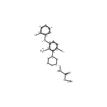 CC(C)(C)OC(=O)NC[C@@H]1CCCN(c2c(I)ccc(Oc3ccccc3F)c2C(F)(F)F)C1